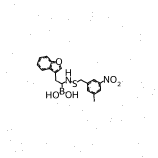 Cc1cc(CSNC(Cc2coc3ccccc23)B(O)O)cc([N+](=O)[O-])c1